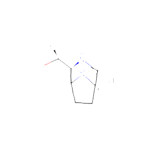 C[C@H](O)[C@H]1NC[C@H]2CC[C@@H]1N2C(=O)O